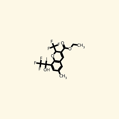 CCOC(=O)C1=Cc2cc(C)cc(C(O)(I)C(F)(F)F)c2OC1C(F)(F)F